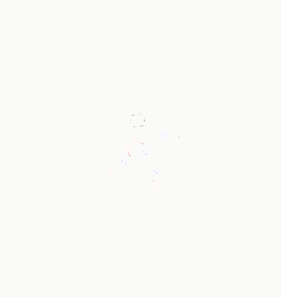 CC1CCC(N(C(=O)C(C)(C)C)[C@H]2C[C@@H](C(=O)N3CCOCC3)N(C(=O)[C@@H]3CN(C(C)(C)C)C[C@H]3c3ccc(F)cc3F)C2)CC1.Cl